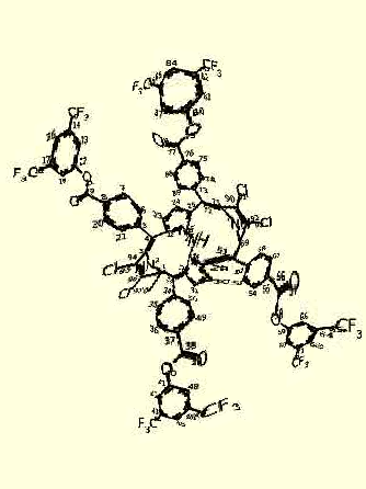 CC12N/C(=C(/c3ccc(C(=O)Oc4cc(C(F)(F)F)cc(C(F)(F)F)c4)cc3)c3ccc4n3Nn3/c(cc/c3=C/1c1ccc(C(=O)Oc3cc(C(F)(F)F)cc(C(F)(F)F)c3)cc1)=C(/c1ccc(C(=O)Oc3cc(C(F)(F)F)cc(C(F)(F)F)c3)cc1)C1N/C(=C\4c3ccc(C(=O)Oc4cc(C(F)(F)F)cc(C(F)(F)F)c4)cc3)C(Cl)=C1Cl)C(Cl)=C2Cl